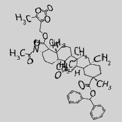 CC(=O)N[C@H]1CC[C@]2(C)C3C(=O)C=C4[C@@H]5C[C@@](C)(C(=O)OC(c6ccccc6)c6ccccc6)CC[C@]5(C)CC[C@@]4(C)[C@]3(C)CC[C@H]2[C@]1(C)C(=O)OCc1oc(=O)oc1C